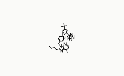 CCCCc1nc2c(C)ccnc2n1Cc1ccc(-n2cc(C(C)(C)C)cc2-c2nnn[nH]2)cc1